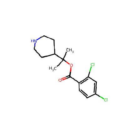 CC(C)(OC(=O)c1ccc(Cl)cc1Cl)C1CCNCC1